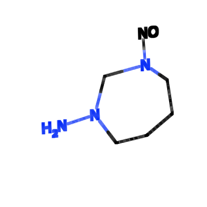 NN1CCCCN(N=O)C1